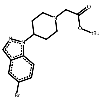 CC(C)(C)OC(=O)CN1CCC(n2ncc3cc(Br)ccc32)CC1